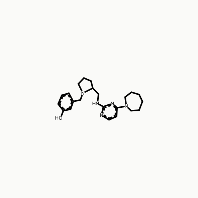 Oc1cccc(CN2CCCC2CNc2nccc(N3CCCCCC3)n2)c1